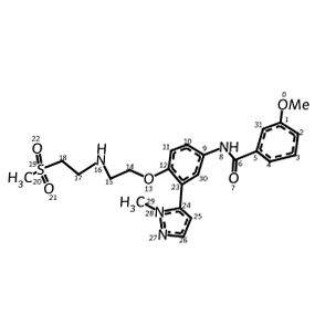 COc1cccc(C(=O)Nc2ccc(OCCNCCS(C)(=O)=O)c(-c3ccnn3C)c2)c1